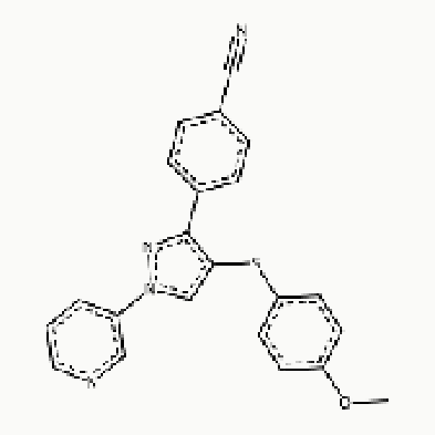 COc1ccc(Sc2cn(-c3cccnc3)nc2-c2ccc(C#N)cc2)cc1